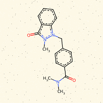 CN(C)C(=O)c1ccc(Cn2c3ccccc3c(=O)n2C)cc1